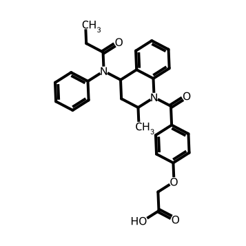 CCC(=O)N(c1ccccc1)C1CC(C)N(C(=O)c2ccc(OCC(=O)O)cc2)c2ccccc21